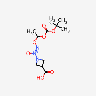 CC(ON=[N+]([O-])N1CC(C(=O)O)C1)OC(=O)OC(C)(C)C